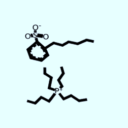 CCCCCCc1ccccc1S(=O)(=O)[O-].CCCC[P+](CCCC)(CCCC)CCCC